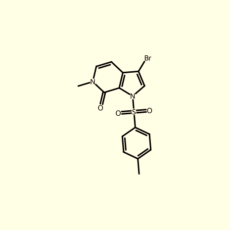 Cc1ccc(S(=O)(=O)n2cc(Br)c3ccn(C)c(=O)c32)cc1